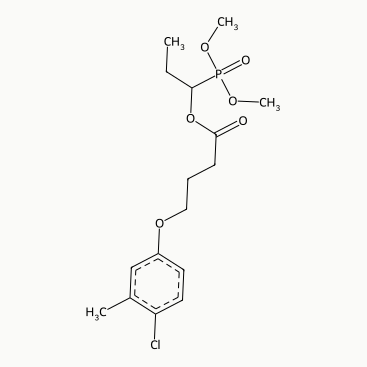 CCC(OC(=O)CCCOc1ccc(Cl)c(C)c1)P(=O)(OC)OC